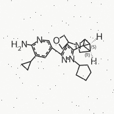 Nc1ncc(-c2cc(C34C5[C@H]3[C@H]4CN5C3COC3)n(C3CCCC3)n2)cc1C1CC1